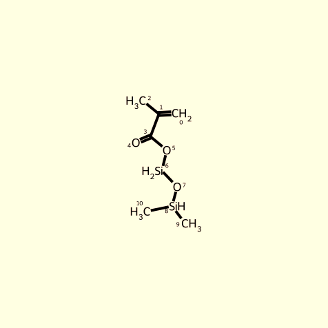 C=C(C)C(=O)O[SiH2]O[SiH](C)C